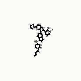 C/C=C/C(=O)N1CCC(N[C@H]2CCc3cc(-n4c(-c5cccnc5N)nc5ccc(-n6cccn6)nc54)ccc32)CC1